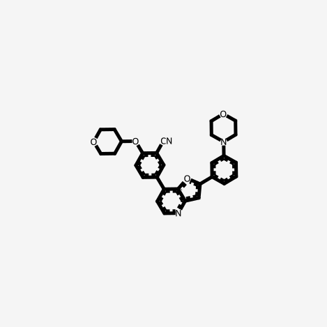 N#Cc1cc(-c2ccnc3cc(-c4cccc(N5CCOCC5)c4)oc23)ccc1OC1CCOCC1